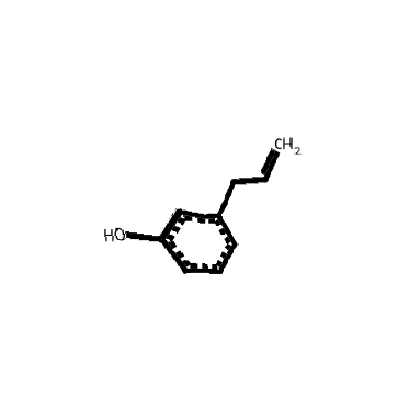 C=CCc1[c]ccc(O)c1